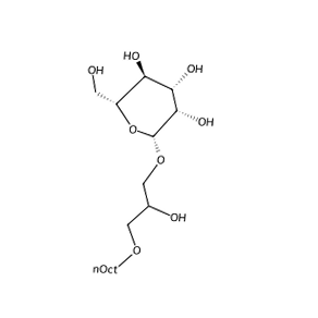 CCCCCCCCOCC(O)CO[C@@H]1O[C@H](CO)[C@@H](O)[C@H](O)[C@@H]1O